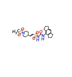 CS(=O)(=O)N1CCC(/C=C/S(=O)(=O)NC(=O)Nc2c3c(cc4c2CCC4)CCC3)CC1